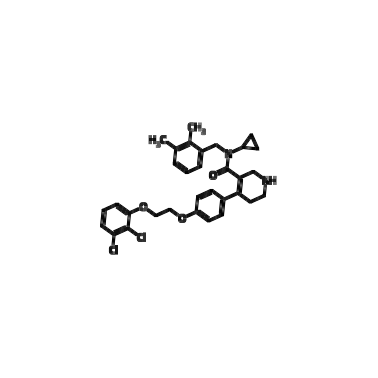 Cc1cccc(CN(C(=O)C2=C(c3ccc(OCCOc4cccc(Cl)c4Cl)cc3)CCNC2)C2CC2)c1C